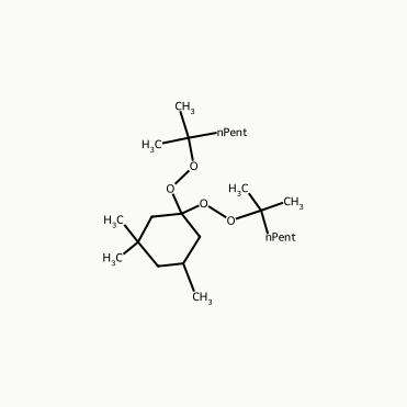 CCCCCC(C)(C)OOC1(OOC(C)(C)CCCCC)CC(C)CC(C)(C)C1